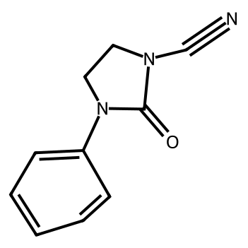 N#CN1CCN(c2ccccc2)C1=O